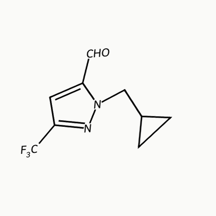 O=Cc1cc(C(F)(F)F)nn1CC1CC1